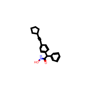 O=C(NO)C(c1ccccc1)c1ccc(C#CC2CCCC2)cc1